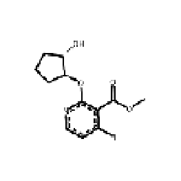 COC(=O)c1c(I)ccnc1O[C@H]1CCC[C@@H]1O